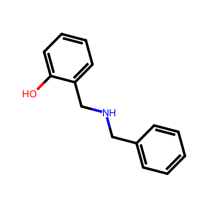 Oc1ccccc1CNCc1ccccc1